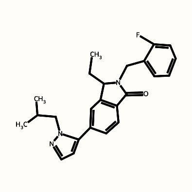 CCC1c2cc(-c3ccnn3CC(C)C)ccc2C(=O)N1Cc1ccccc1F